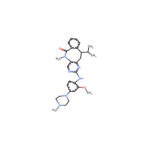 COc1cc(N2CCN(C)CC2)ccc1Nc1ncc2c(n1)CC(C(C)C)c1ccccc1C(=O)N2C